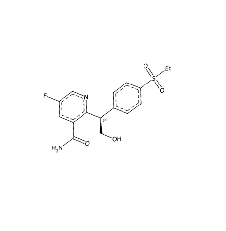 CCS(=O)(=O)c1ccc([C@@H](CO)c2ncc(F)cc2C(N)=O)cc1